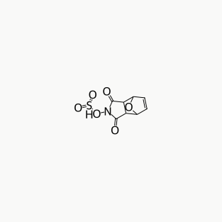 O=C1C2C3C=CC(O3)C2C(=O)N1O[SH](=O)=O